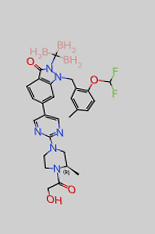 BC(B)(B)n1c(=O)c2ccc(-c3cnc(N4CCN(C(=O)CO)[C@H](C)C4)nc3)cc2n1Cc1cc(C)ccc1OC(F)F